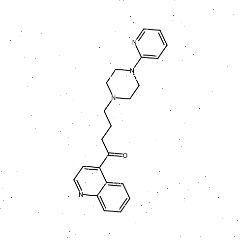 O=C(CCCN1CCN(c2ccccn2)CC1)c1ccnc2ccccc12